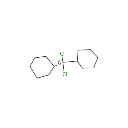 [Cl][Ge]([Cl])([CH]1CCCCC1)[CH]1CCCCC1